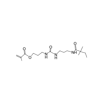 C=C(C)C(=O)OCCCNC(=O)NCCCNC(=O)C(C)(C)CC